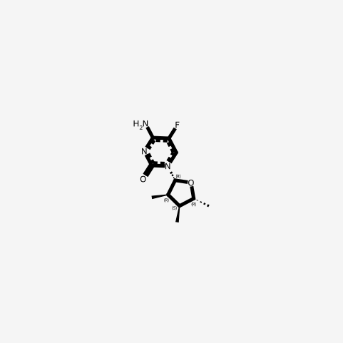 C[C@@H]1[C@H](C)[C@@H](C)O[C@H]1n1cc(F)c(N)nc1=O